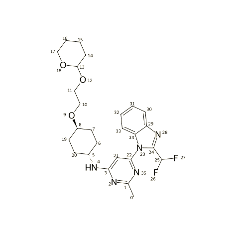 Cc1nc(N[C@H]2CC[C@H](OCCOC3CCCCO3)CC2)cc(-n2c(C(F)F)nc3ccccc32)n1